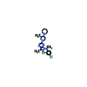 Cc1nn(C(C)c2ccc(Cl)cc2Cl)c2nc(N3CCC(N4CCCCCC4)[C@H](C)C3)cnc12